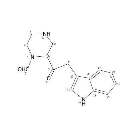 O=[C]N1CCNCC1C(=O)Cc1c[nH]c2ccccc12